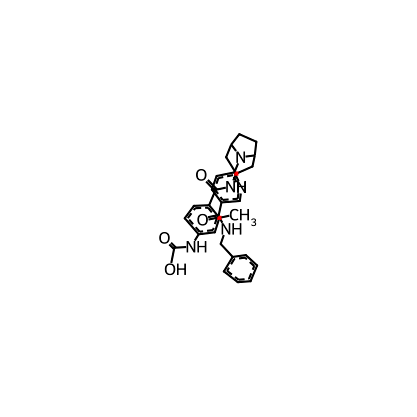 Cc1cc(NC(=O)O)ccc1C(=O)NC1CC2CCC(C1)N2c1ccc(C(=O)NCc2ccccc2)cn1